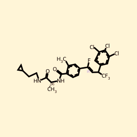 Cc1cc(/C(F)=C/C(c2cc(Cl)c(Cl)c(Cl)c2)C(F)(F)F)ccc1C(=O)N[C@H](C)C(=O)NCCC1CC1